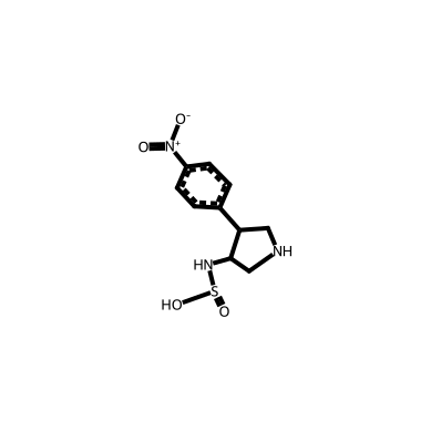 O=[N+]([O-])c1ccc(C2CNCC2NS(=O)O)cc1